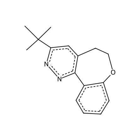 CC(C)(C)c1cc2c(nn1)-c1ccccc1OCC2